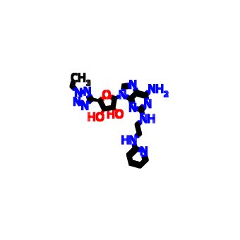 CCn1nnc([C@H]2O[C@@H](n3cnc4c(N)nc(NCCNc5ccccn5)nc43)[C@H](O)[C@@H]2O)n1